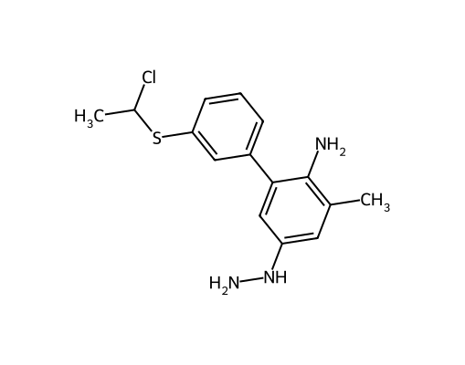 Cc1cc(NN)cc(-c2cccc(SC(C)Cl)c2)c1N